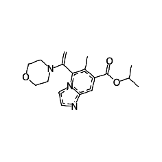 C=C(c1c(C)c(C(=O)OC(C)C)cc2nccn12)N1CCOCC1